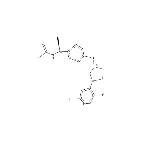 CC(=O)N[C@@H](C)c1ccc(O[C@@H]2CCN(c3cc(F)ncc3F)C2)cc1